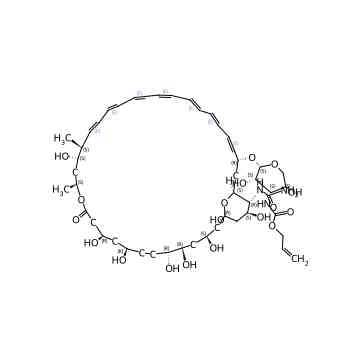 C=CCOC(=O)N[C@@H]1[C@H](O)[C@H](O[C@H]2/C=C/C=C/C=C/C=C/C=C/C=C/C=C/[C@H](C)[C@@H](O)C[C@H](C)OC(=O)C[C@H](O)C[C@H](O)CC[C@@H](O)[C@H](O)C[C@H](O)C[C@]3(O)C[C@H](O)[C@@H](NC(N)=O)[C@H](C2)O3)OC[C@H]1O